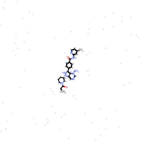 C=CC(=O)N1CCC[C@@H](N2NC(c3ccc(C(=O)Nc4cc(C(F)(F)F)ccn4)cc3)=C3C2=CN=CN3N)C1